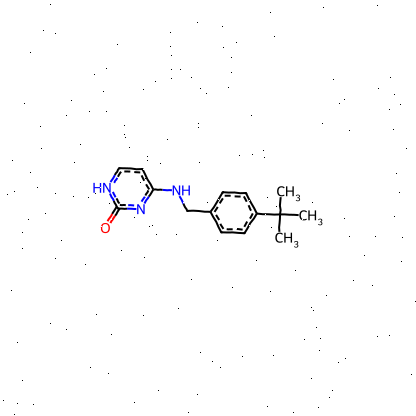 CC(C)(C)c1ccc(CNc2cc[nH]c(=O)n2)cc1